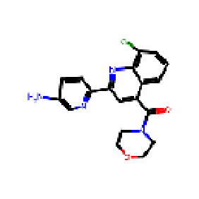 Nc1ccc(-c2cc(C(=O)N3CCOCC3)c3cccc(Cl)c3n2)nc1